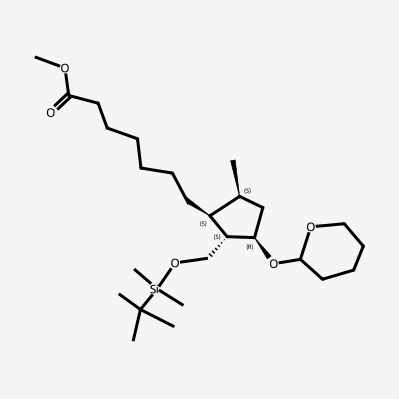 COC(=O)CCCCCC[C@@H]1[C@@H](CO[Si](C)(C)C(C)(C)C)[C@H](OC2CCCCO2)C[C@@H]1C